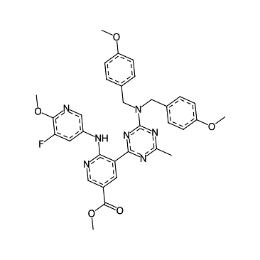 COC(=O)c1cnc(Nc2cnc(OC)c(F)c2)c(-c2nc(C)nc(N(Cc3ccc(OC)cc3)Cc3ccc(OC)cc3)n2)c1